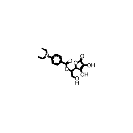 CCN(CC)c1ccc(C(=O)OC(CO)C2OC(=O)C(O)=C2O)cc1